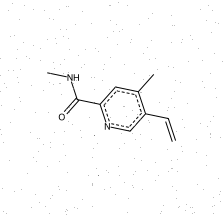 C=Cc1cnc(C(=O)NC)cc1C